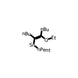 CCCC[CH2][Sn][C](CCCC)=C(CCCC)OCC